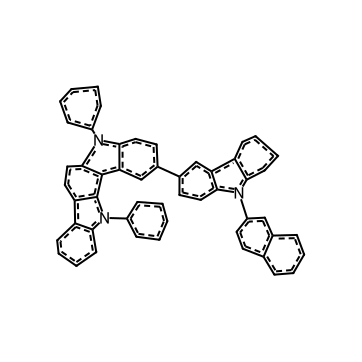 c1ccc(-n2c3ccc(-c4ccc5c(c4)c4ccccc4n5-c4ccc5ccccc5c4)cc3c3c2ccc2c4ccccc4n(-c4ccccc4)c23)cc1